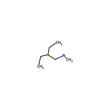 CCC(CC)C[N]C